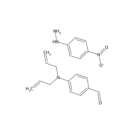 C=CCN(CC=C)c1ccc(C=O)cc1.NNc1ccc([N+](=O)[O-])cc1